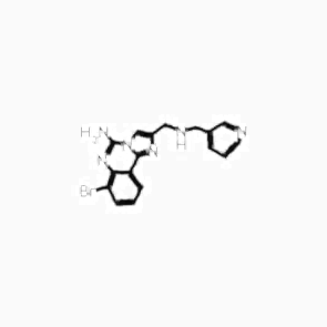 Nc1nc2c(Br)cccc2c2nc(CNCc3cccnc3)cn12